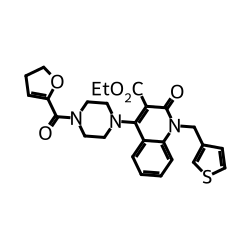 CCOC(=O)c1c(N2CCN(C(=O)C3=CCCO3)CC2)c2ccccc2n(Cc2ccsc2)c1=O